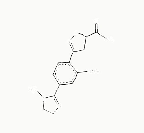 COc1cc(C2=NCCN2C)ccc1C1=NOC(C(N)=O)C1